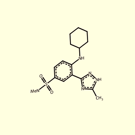 CNS(=O)(=O)c1ccc(NC2CCCCC2)c(-c2n[nH]c(C)n2)c1